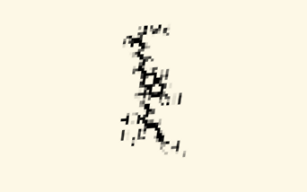 CC#CC[C@H](C)[C@H](O)/C=C/[C@@H]1[C@H]2CC(=CCCCC(=O)OC)C[C@H]2C[C@H]1O